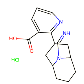 Cl.N=CN1C2CCCC1CC(c1ncccc1C(=O)O)C2